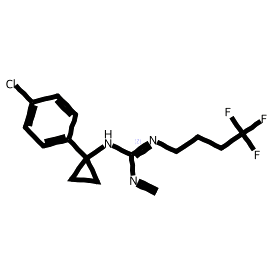 C=N/C(=N\CCCC(F)(F)F)NC1(c2ccc(Cl)cc2)CC1